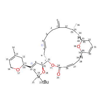 C=C1CC/C=C/C[C@@H]([C@H](/C=C/[C@@H]2CC(C)=CCO2)O[Si](C)(C)C(C)(C)C)OC(=O)C=CC[C@@H]2C=CC[C@@H](C[C@@H](C)C1)O2